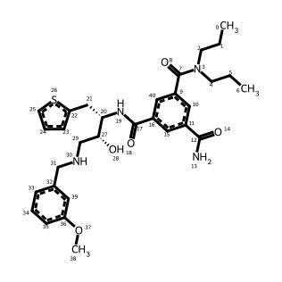 CCCN(CCC)C(=O)c1cc(C(N)=O)cc(C(=O)N[C@@H](Cc2cccs2)[C@H](O)CNCc2cccc(OC)c2)c1